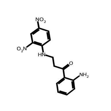 Nc1ccccc1C(=O)CCNc1ccc([N+](=O)[O-])cc1[N+](=O)[O-]